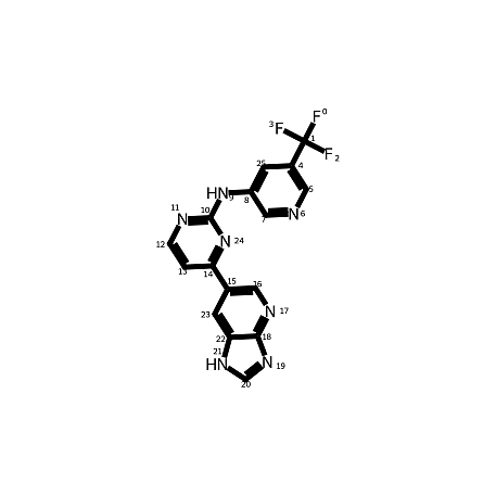 FC(F)(F)c1cncc(Nc2nccc(-c3cnc4nc[nH]c4c3)n2)c1